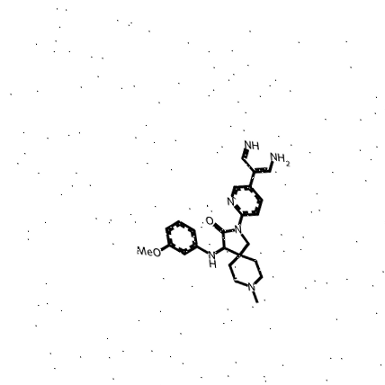 COc1cccc(NC2C(=O)N(c3ccc(/C(C=N)=C/N)cn3)CC23CCN(C)CC3)c1